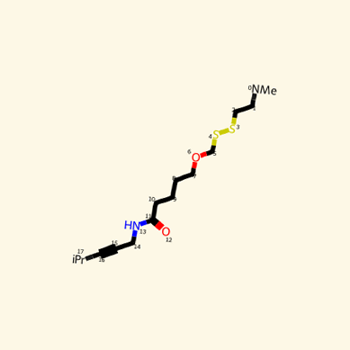 CNCCSSCOCCCCC(=O)NCC#CC(C)C